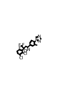 Cc1cc(C2=NOC(c3cccc(Cl)c3Cl)(C(F)(F)F)C2)ccc1-n1cncn1